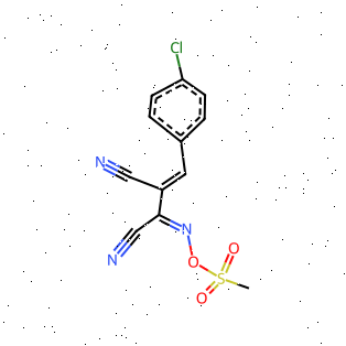 CS(=O)(=O)ON=C(C#N)C(C#N)=Cc1ccc(Cl)cc1